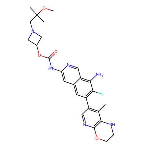 COC(C)(C)CN1CC(OC(=O)Nc2cc3cc(-c4cnc5c(c4C)NCCO5)c(F)c(N)c3cn2)C1